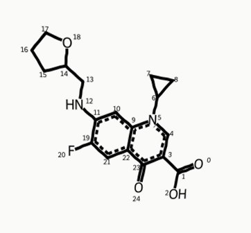 O=C(O)c1cn(C2CC2)c2cc(NCC3CCCO3)c(F)cc2c1=O